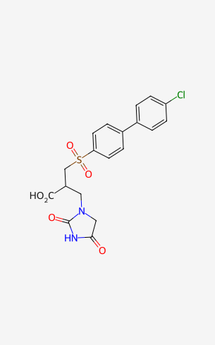 O=C1CN(CC(CS(=O)(=O)c2ccc(-c3ccc(Cl)cc3)cc2)C(=O)O)C(=O)N1